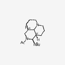 CCCCC1[C@H]2CCCN3CCC[C@H](CN1C(C)=O)C23